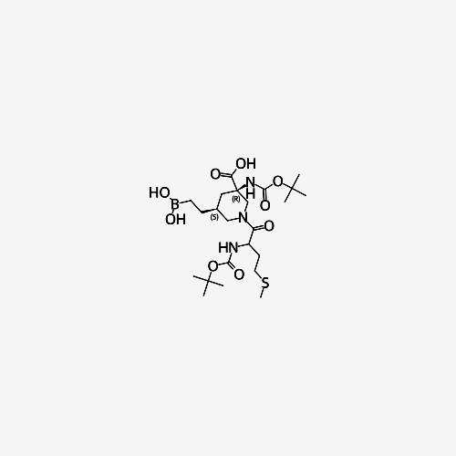 CSCCC(NC(=O)OC(C)(C)C)C(=O)N1C[C@@H](CCB(O)O)C[C@](NC(=O)OC(C)(C)C)(C(=O)O)C1